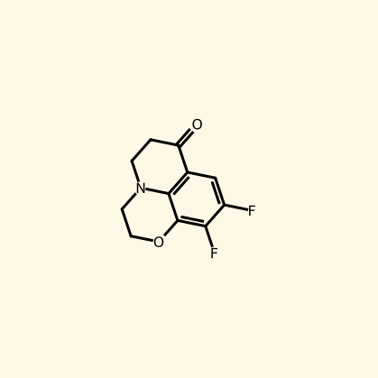 O=C1CCN2CCOc3c(F)c(F)cc1c32